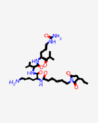 CCCC1CC(=O)N(CCCCCC(=O)NC(CCCCN)C(=O)NC(C(=O)NC(CCCNC(N)=O)C(=O)C(C)C)C(C)C)C1=O